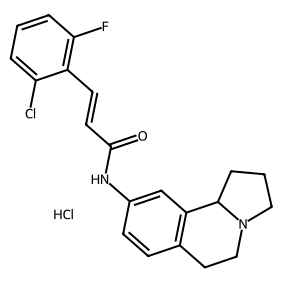 Cl.O=C(C=Cc1c(F)cccc1Cl)Nc1ccc2c(c1)C1CCCN1CC2